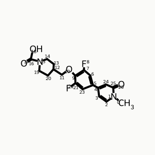 Cn1ccc(-c2cc(F)c(OCC3CCN(C(=O)O)CC3)c(F)c2)cc1=O